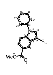 COC(=O)c1ccc2c(c1)c(F)cn2-c1ncccn1